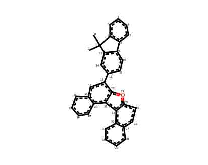 CC1(C)c2ccccc2-c2ccc(-c3cc4ccccc4c4c3oc3ccc5ccccc5c34)cc21